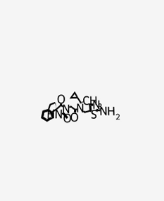 C[C@@H](C1CC1)N(Cc1cnc(N)s1)C(=O)CN1C(=O)N[C@]2(CCc3ccccc32)C1=O